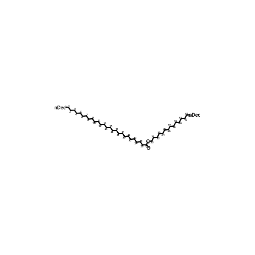 CCCCCCCCCCCCCCCCCCCCCCCCCCCCCCCCCCCCC(=O)OCCCCCCCCCCCCCCCCCCCCCCCC